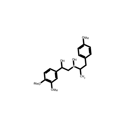 COc1ccc(CC(C)N(O)CC(O)c2ccc(OC)c(OC)c2)cc1